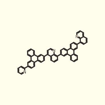 c1ccc(-c2ccc3c4ccc(-c5ccnc6c(-c7ccc8c9ccc(-c%10cccc%11cccnc%10%11)cc9c9ccccc9c8c7)cccc56)cc4c4ccccc4c3c2)nc1